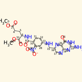 COC(=O)CCC(NC(=O)c1ccc(NCc2cnc3nc(N)[nH]c(=O)c3n2)cc1[N+](=O)[O-])C(=O)OC